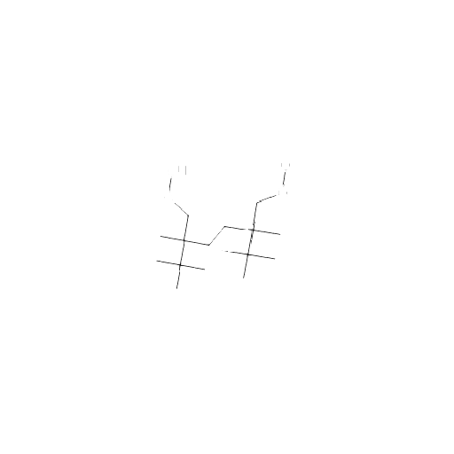 CC(C)(C)C(C)(CCC(C)(COO)C(C)(C)C)COO